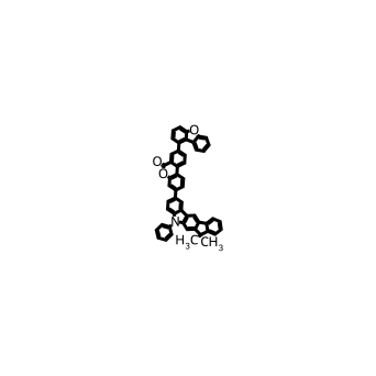 CC1(C)c2ccccc2-c2cc3c4cc(-c5ccc6c(c5)oc(=O)c5cc(-c7cccc8oc9ccccc9c78)ccc56)ccc4n(-c4ccccc4)c3cc21